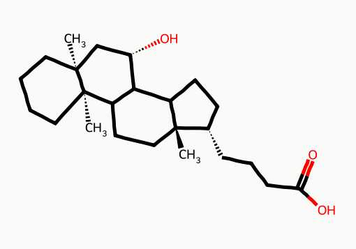 C[C@@]12CCCC[C@]1(C)C1CC[C@]3(C)C(CC[C@@H]3CCCC(=O)O)C1[C@@H](O)C2